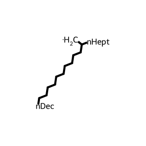 [CH2]C(CCCCCCC)CCCCCCCCCCCCCCCCCCCC